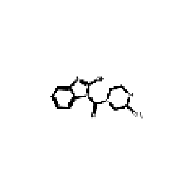 CC1CN(C(=N)n2c(S)nc3ccccc32)CCN1